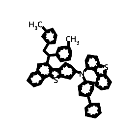 Cc1cccc(CC(c2cccc(C)c2)c2cc3ccccc3c3sc4cc(N(c5ccc(-c6ccccc6)cc5)c5cccc6sc7ccccc7c56)ccc4c23)c1